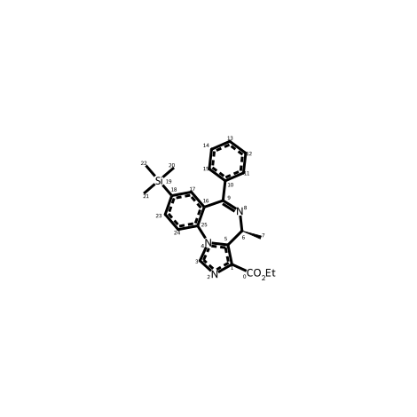 CCOC(=O)c1ncn2c1[C@H](C)N=C(c1ccccc1)c1cc([Si](C)(C)C)ccc1-2